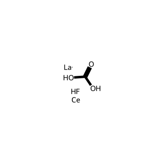 F.O=C(O)O.[Ce].[La]